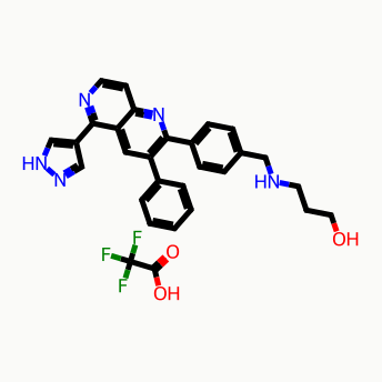 O=C(O)C(F)(F)F.OCCCNCc1ccc(-c2nc3ccnc(-c4cn[nH]c4)c3cc2-c2ccccc2)cc1